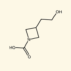 O=C(O)N1CC(CCO)C1